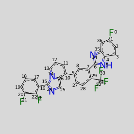 Fc1ccc2[nH]c(-c3cc(-c4cccn5c(-c6cccc(F)c6F)ncc45)ccc3C(F)(F)F)nc2c1